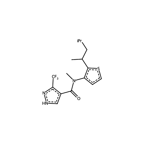 CC(C)CC(C)c1sccc1N(C)C(=O)c1c[nH]nc1C(F)(F)F